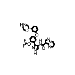 O=C(Nc1c[nH]nc1-c1cc(Oc2cccc([C@H]3CNCCO3)c2)ccc1OC(F)F)c1cnn2cccnc12